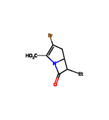 CCC1C(=O)N2C(C(=O)O)=C(Br)CC12